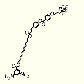 Nc1cc(N)cc(C(=O)OCCCCCCCCCCCOC(=O)C=Cc2ccc(OC(=O)c3ccc(OCCCC(F)(F)C(F)(F)F)cc3)cc2)c1